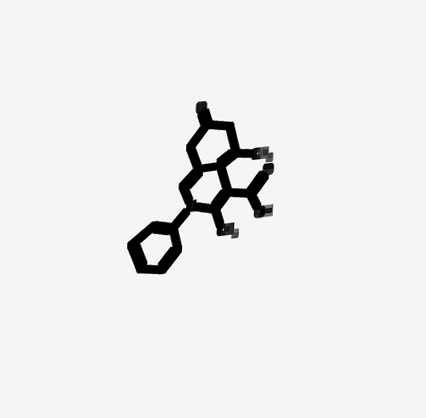 CC1=C2C(=CN(c3ccccc3)C(C)=C2C(=O)O)CC(=O)C1